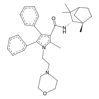 Cc1c(C(=O)N[C@@H]2C(C)(C)C3CC[C@@]2(C)C3)c(-c2ccccc2)c(-c2ccccc2)n1CCN1CCOCC1